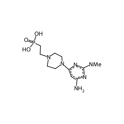 CNc1nc(N)cc(N2CCN(CCP(=O)(O)O)CC2)n1